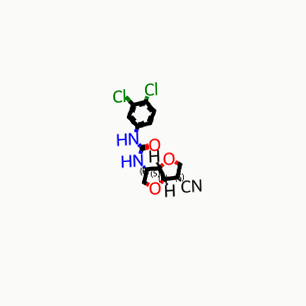 N#C[C@H]1CO[C@@H]2[C@@H]1OC[C@H]2NC(=O)Nc1ccc(Cl)c(Cl)c1